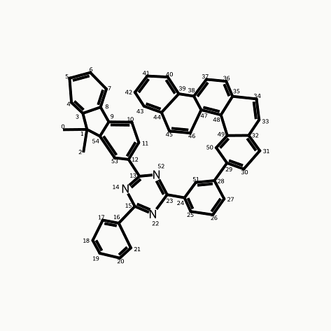 CC1(C)c2ccccc2-c2ccc(-c3nc(-c4ccccc4)nc(-c4cccc(-c5ccc6ccc7ccc8c9ccccc9ccc8c7c6c5)c4)n3)cc21